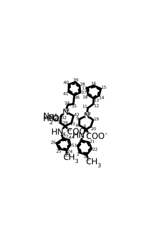 Cc1ccc(NC2(C(=O)[O-])CCN(CCc3ccccc3)CC2)cc1.Cc1ccc(NC2(C(=O)[O-])CCN(CCc3ccccc3)CC2)cc1.O.[Na+].[Na+]